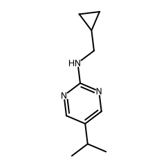 CC(C)c1cnc(NCC2CC2)nc1